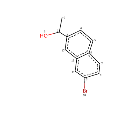 CC(O)c1ccc2ccc(Br)cc2c1